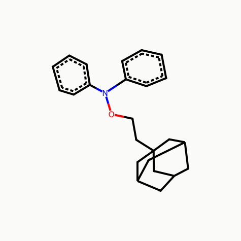 c1ccc(N(OCCC23CC4CC(CC(C4)C2)C3)c2ccccc2)cc1